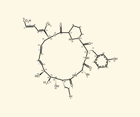 CC(=O)CC[C@H]1C(=O)N[C@@H](C(C)C)C(=O)N[C@@H](Cc2cccc(O)c2)C(=O)N2CCCC(N2)C(=O)O[C@H](/C(C)=C/C=C/C(=O)O)C/C=C/C=C/[C@H](O)[C@H](C)[C@H]1O